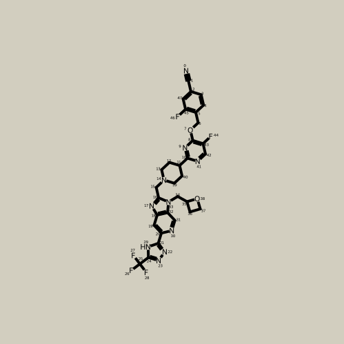 N#Cc1ccc(COc2nc(C3CCN(Cc4nc5cc(-c6nnc(C(F)(F)F)[nH]6)ncc5n4CC4CCO4)CC3)ncc2F)c(F)c1